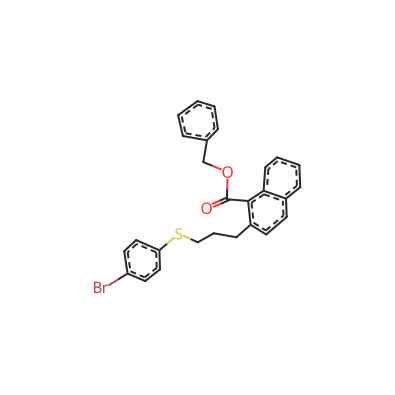 O=C(OCc1ccccc1)c1c(CCCSc2ccc(Br)cc2)ccc2ccccc12